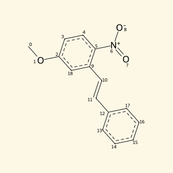 COc1ccc([N+](=O)[O-])c(C=Cc2ccccc2)c1